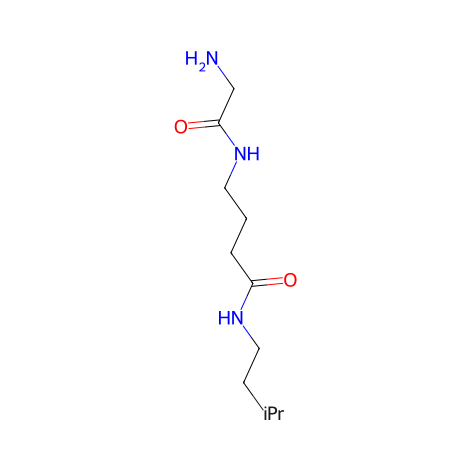 CC(C)CCNC(=O)CCCNC(=O)CN